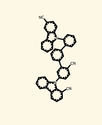 N#Cc1ccc2c(c1)c1ccccc1n2-c1ccccc1-c1cccc(-c2cc(-n3c4ccccc4c4cccc(C#N)c43)ccc2C#N)c1